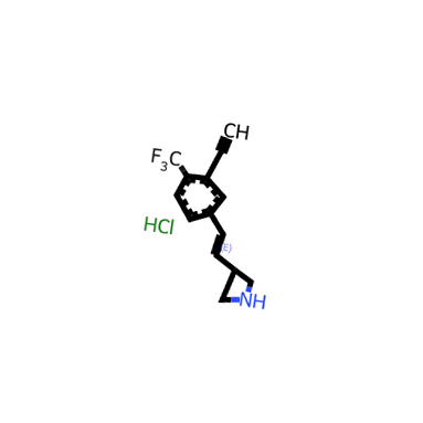 C#Cc1cc(/C=C/C2CNC2)ccc1C(F)(F)F.Cl